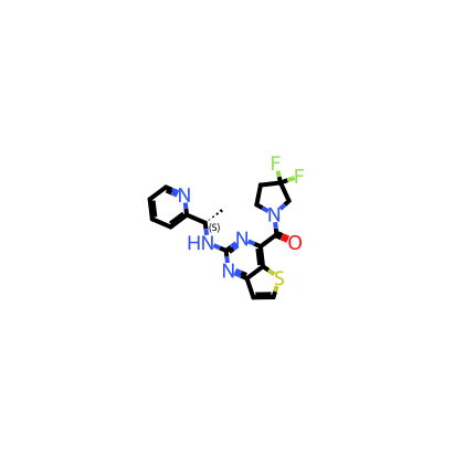 C[C@H](Nc1nc(C(=O)N2CCC(F)(F)C2)c2sccc2n1)c1ccccn1